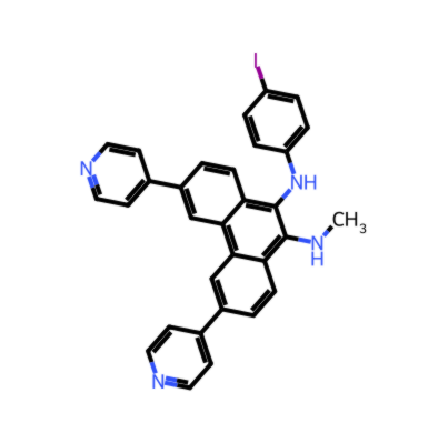 CNc1c(Nc2ccc(I)cc2)c2ccc(-c3ccncc3)cc2c2cc(-c3ccncc3)ccc12